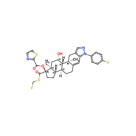 C[C@]12Cc3cnn(-c4ccc(F)cc4)c3C=C1CC[C@@H]1[C@@H]2[C@@H](O)C[C@@]2(C)[C@H]1CC[C@]2(OC(=O)c1nccs1)C(=O)SCF